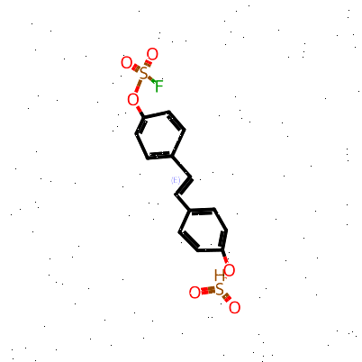 O=[SH](=O)Oc1ccc(/C=C/c2ccc(OS(=O)(=O)F)cc2)cc1